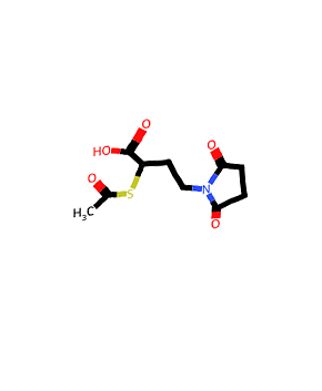 CC(=O)SC(CCN1C(=O)CCC1=O)C(=O)O